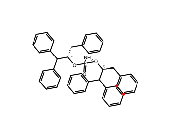 NP(=O)(O[C@@H](Cc1ccccc1)C(c1ccccc1)c1ccccc1)O[C@@H](Cc1ccccc1)C(c1ccccc1)c1ccccc1